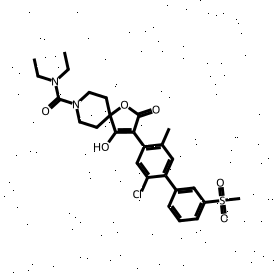 CCN(CC)C(=O)N1CCC2(CC1)OC(=O)C(c1cc(Cl)c(-c3cccc(S(C)(=O)=O)c3)cc1C)=C2O